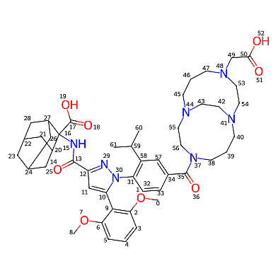 COc1cccc(OC)c1-c1cc(C(=O)NC2(C(=O)O)C3CC4CC(C3)CC2C4)nn1-c1ccc(C(=O)N2CCCN3CCN(CCCN(CC(=O)O)CC3)CC2)cc1C(C)C